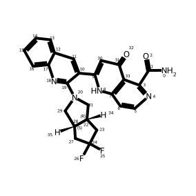 NC(=O)c1nccc2[nH]c(-c3cc4ccccc4nc3N3C[C@@H]4CC(F)(F)C[C@@H]4C3)cc(=O)c12